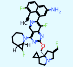 C#Cc1c(F)ccc2cc(N)cc(-c3ncc4c(N5CCCC[C@H]6[C@H](F)[C@H]65)nc(OC[C@]56C/C(=C\F)CN5CCC65CC5)nc4c3F)c12